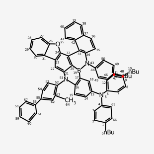 CCCCc1ccc(N(c2ccc(CCCC)cc2)c2ccc3c(c2)B2c4c(cc5c(oc6ccccc65)c4-c4c(ccc5ccccc45)N2c2ccc(C(C)(C)C)cc2)N3c2ccc(-c3ccccc3)cc2C)cc1